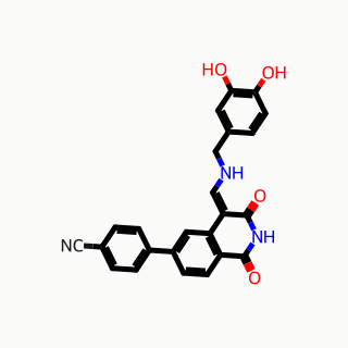 N#Cc1ccc(-c2ccc3c(c2)C(=CNCc2ccc(O)c(O)c2)C(=O)NC3=O)cc1